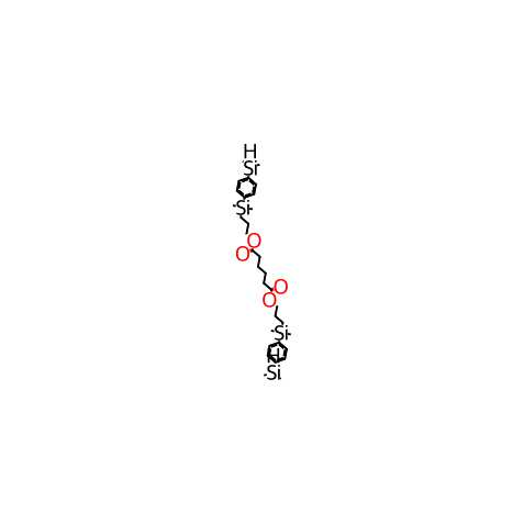 C[SiH](C)c1ccc([Si](C)(C)CCCOC(=O)CCCCC(=O)OCCC[Si](C)(C)c2ccc([SiH](C)C)cc2)cc1